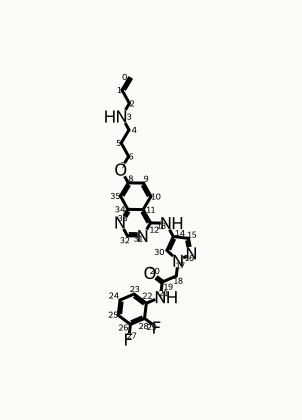 C=CCNCCCOc1ccc2c(Nc3cnn(CC(=O)Nc4cccc(F)c4F)c3)ncnc2c1